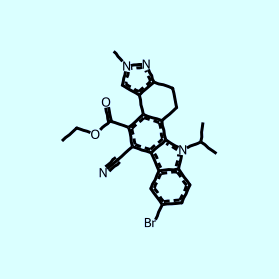 CCOC(=O)c1c2c(c3c(c1C#N)c1cc(Br)ccc1n3C(C)C)CCc1nn(C)cc1-2